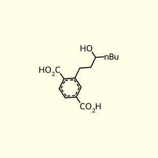 CCCCC(O)CCc1cc(C(=O)O)ccc1C(=O)O